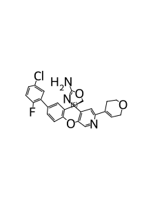 NC1=N[C@@]2(CO1)c1cc(-c3cc(Cl)ccc3F)ccc1Oc1cnc(C3=CCOCC3)cc12